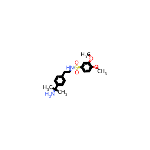 COc1ccc(S(=O)(=O)NCCc2ccc(C(C)(C)N)cc2)cc1OC